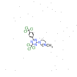 CN1CCCN(c2nc(-c3ccc(C(Cl)(Cl)Cl)cc3)nc(C(Cl)(Cl)Cl)n2)CC1